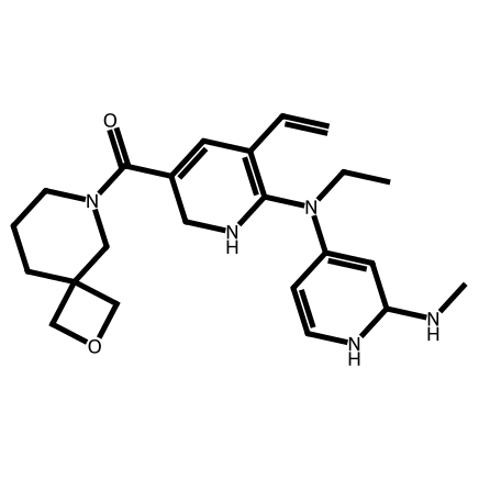 C=CC1=C(N(CC)C2=CC(NC)NC=C2)NCC(C(=O)N2CCCC3(COC3)C2)=C1